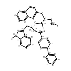 CNC[C@H](Cc1ccc2ccccc2c1)N(C)C[C@@H](Cc1cn(C)c2ccccc12)NC(=O)c1ccc(-c2ccccc2)cc1